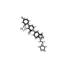 Cc1c(-c2ccc(I)cc2F)ccn(-c2ccc3c(cnn3CCN3CCCC3)c2)c1=O